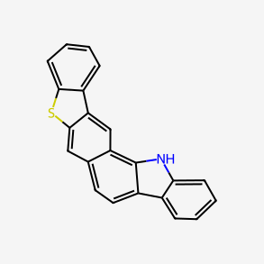 c1ccc2c(c1)[nH]c1c3cc4c(cc3ccc21)sc1ccccc14